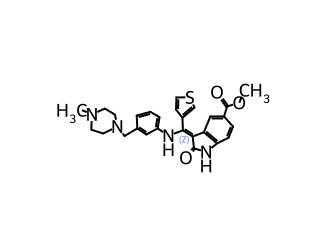 COC(=O)c1ccc2c(c1)/C(=C(/Nc1cccc(CN3CCN(C)CC3)c1)c1ccsc1)C(=O)N2